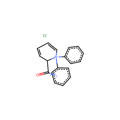 NC(=O)C1C=CC=C[N+]1(c1ccccc1)c1ccccc1.[Cl-]